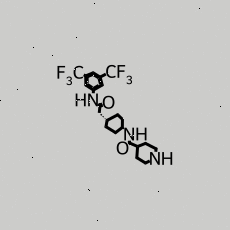 O=C(C[C@H]1CC[C@@H](NC(=O)C2CCNCC2)CC1)Nc1cc(C(F)(F)F)cc(C(F)(F)F)c1